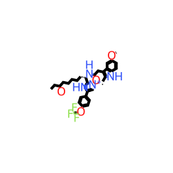 CCC(=O)CCCCC[C@H](NC(=O)Cc1c(C)[nH]c2ccc(OC)cc12)C1=[N+]C=C(c2ccc(OC(F)(F)F)cc2)N1